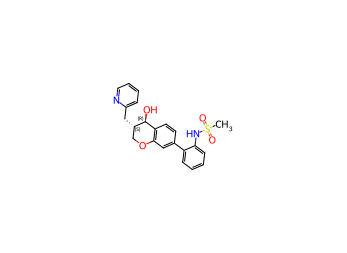 CS(=O)(=O)Nc1ccccc1-c1ccc2c(c1)OC[C@H](Cc1ccccn1)[C@H]2O